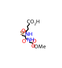 COOC(=O)CNC(=O)C(CS)NC(=O)CCCC(=O)O